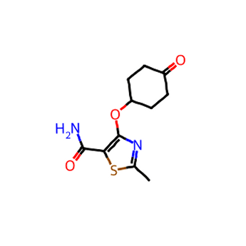 Cc1nc(OC2CCC(=O)CC2)c(C(N)=O)s1